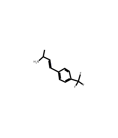 CC(N)/C=C/c1ccc(C(F)(F)F)cc1